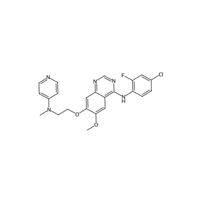 COc1cc2c(Nc3ccc(Cl)cc3F)ncnc2cc1OCCN(C)c1ccncc1